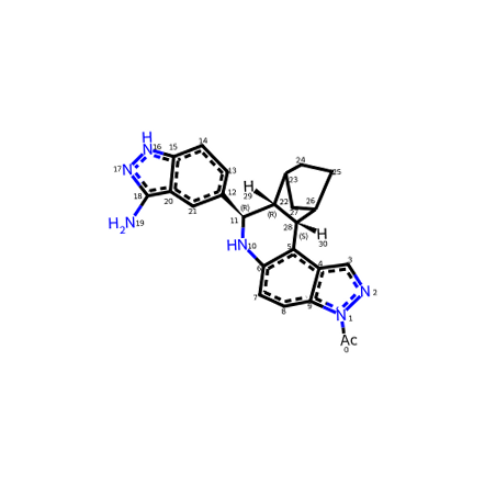 CC(=O)n1ncc2c3c(ccc21)N[C@@H](c1ccc2[nH]nc(N)c2c1)[C@@H]1C2CCC(C2)[C@H]31